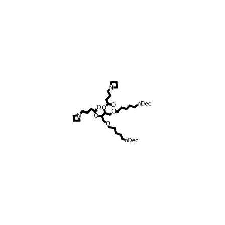 CCCCCCCCCCCCCCCOCC(OC(=O)CCCN1CCC1)C(COCCCCCCCCCCCCCCC)OC(=O)CCCN1CCC1